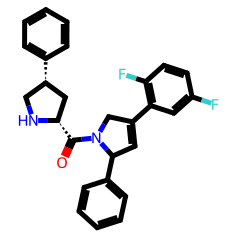 O=C([C@H]1C[C@@H](c2ccccc2)CN1)N1CC(c2cc(F)ccc2F)=CC1c1ccccc1